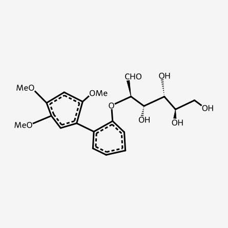 COc1cc(OC)c(-c2ccccc2O[C@@H](C=O)[C@@H](O)[C@H](O)[C@H](O)CO)cc1OC